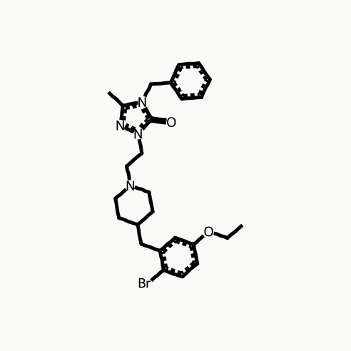 CCOc1ccc(Br)c(CC2CCN(CCn3nc(C)n(Cc4ccccc4)c3=O)CC2)c1